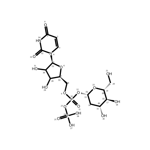 O=c1ccn([C@H]2O[C@@H](COP(=O)(O[C@H]3C[C@@H](O)[C@H](O)[C@@H](CO)O3)OP(=O)(O)O)C(O)C2O)c(=O)[nH]1